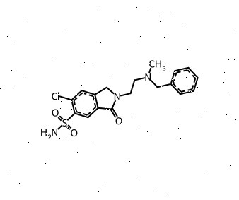 CN(CCN1Cc2cc(Cl)c(S(N)(=O)=O)cc2C1=O)Cc1ccccc1